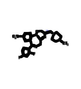 CN1CCN(/C=C2/CON3C(=N2)CN=C(c2ccc(F)cc2F)c2cc([N+](=O)[O-])ccc23)CC1